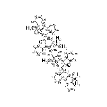 CC1(C)c2ccccc2-c2c1cc(-c1cc3c(c4c1oc1ccccc14)-c1cc4c(cc1C3(C)C)-c1c(cc(-c3cc5c(c6ccccc36)-c3ccccc3C5(C)C)c3oc5ccccc5c13)C4(C)C)c1ccccc21